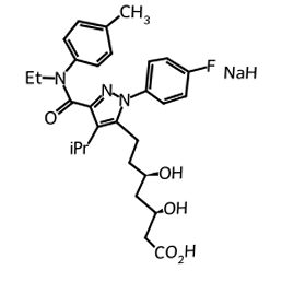 CCN(C(=O)c1nn(-c2ccc(F)cc2)c(CC[C@@H](O)C[C@@H](O)CC(=O)O)c1C(C)C)c1ccc(C)cc1.[NaH]